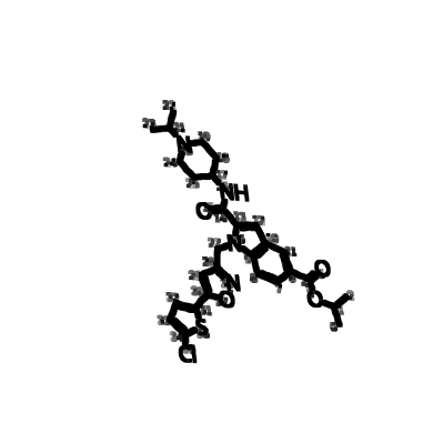 CC(C)OC(=O)c1ccc2c(c1)cc(C(=O)NC1CCN(C(C)C)CC1)n2Cc1cc(-c2ccc(Cl)s2)on1